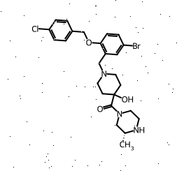 C[C@@H]1CN(C(=O)C2(O)CCN(Cc3cc(Br)ccc3OCc3ccc(Cl)cc3)CC2)CCN1